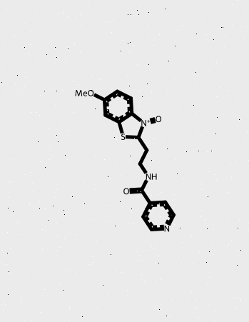 COc1ccc2c(c1)SC(CCNC(=O)c1ccncc1)[N+]2=O